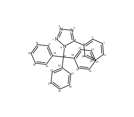 [c]1ccc(-c2nnnn2C(c2ccccc2)(c2ccccc2)c2ccccc2)cc1